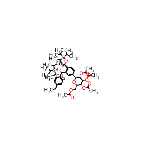 CCc1ccc(C(O[Si](C(C)C)(C(C)C)C(C)C)c2cc([C@@H]3O[C@H](COC(C)=O)[C@@H](OC(C)=O)[C@H](OC(C)=O)[C@H]3OC(C)=O)ccc2CO[Si](C(C)C)(C(C)C)C(C)C)cc1